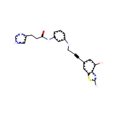 Nc1nc2c(O)cc(C#CCNc3cccc(NC(=O)CCc4c[nH]cn4)c3)cc2s1